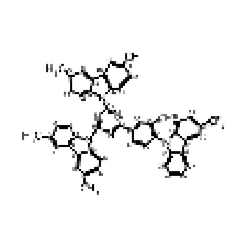 Cc1ccc2c(c1)c1cc(C)ccc1n2-c1nc(-c2ccc(-n3c4ccccc4c4cc(C(F)(F)F)ccc43)c(C(F)(F)F)c2)nc(-n2c3ccc(C)cc3c3cc(C)ccc32)n1